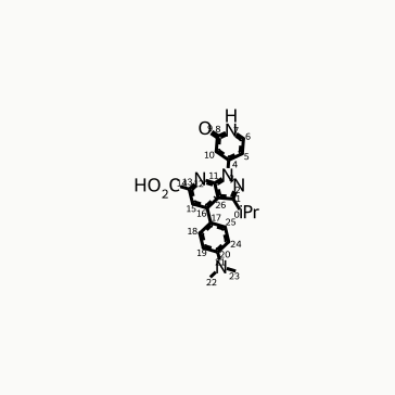 CC(C)c1nn(-c2cc[nH]c(=O)c2)c2nc(C(=O)O)cc(-c3ccc(N(C)C)cc3)c12